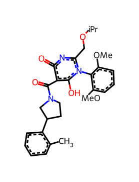 COc1cccc(OC)c1-n1c(COC(C)C)nc(=O)c(C(=O)N2CCC(c3ccccc3C)C2)c1O